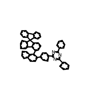 c1ccc(-c2nc(-c3ccccc3)nc(-c3ccc(-c4ccc5ccccc5c4-c4cccc5c4-c4ccccc4C54c5ccccc5-c5ccccc54)cc3)n2)cc1